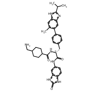 Cc1cc2[nH]c(C(C)C)nc2cc1-c1ccc(C[C@@H](NC(=O)C2CCC(CN)CC2)C(=O)Nc2ccc3[nH]c(=O)[nH]c3c2)cc1